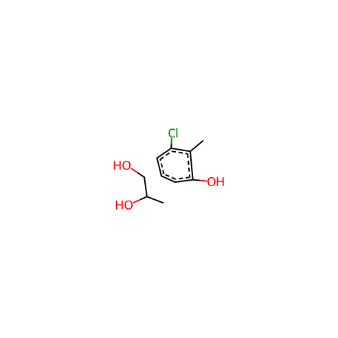 CC(O)CO.Cc1c(O)cccc1Cl